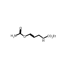 CCOC(=O)NCC=COC(N)=O